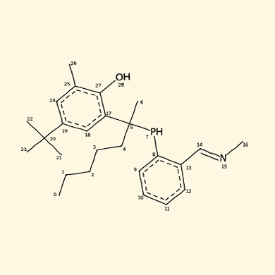 CCCCCC(C)(Pc1ccccc1/C=N/C)c1cc(C(C)(C)C)cc(C)c1O